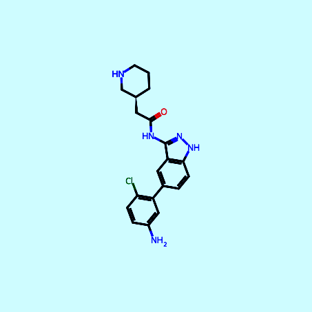 Nc1ccc(Cl)c(-c2ccc3[nH]nc(NC(=O)C[C@@H]4CCCNC4)c3c2)c1